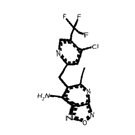 Cc1nc2nonc2c(N)c1Cc1cc(Cl)c(C(F)(F)F)cn1